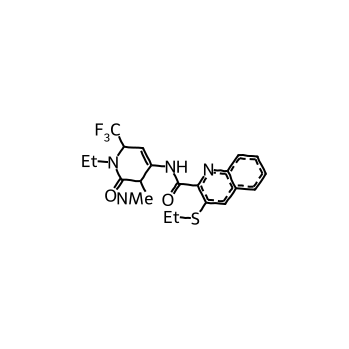 CCSc1cc2ccccc2nc1C(=O)NC1=CC(C(F)(F)F)N(CC)C(=O)C1NC